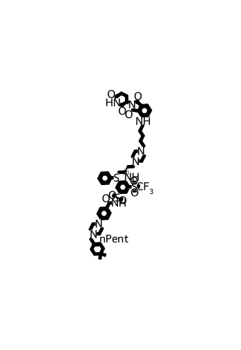 CCCCCC1=C(CN2CCN(c3ccc(C(=O)NS(=O)(=O)c4ccc(N[C@H](CCN5CCN(CCCCCNc6cccc7c6C(=O)N(C6CCC(=O)NC6=O)C7=O)CC5)CSc5ccccc5)c(S(=O)(=O)C(F)(F)F)c4)cc3)CC2)CCC(C)(C)C1